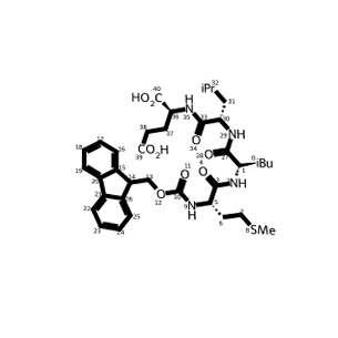 CC[C@H](C)[C@H](NC(=O)[C@H](CCSC)NC(=O)OCC1c2ccccc2-c2ccccc21)C(=O)N[C@@H](CC(C)C)C(=O)N[C@@H](CCC(=O)O)C(=O)O